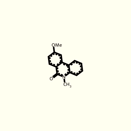 COc1ccc2c(=O)n(C)c3ccccc3c2c1